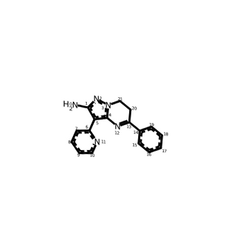 Nc1nn2c(c1-c1ccccn1)N=C(c1ccccc1)CC2